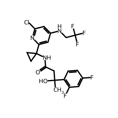 CC(O)(CC(=O)NC1(c2cc(NCC(F)(F)F)cc(Cl)n2)CC1)c1ccc(F)cc1F